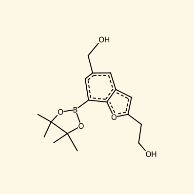 CC1(C)OB(c2cc(CO)cc3cc(CCO)oc23)OC1(C)C